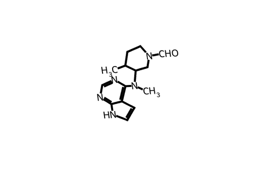 CC1CCN(C=O)CC1N(C)c1ncnc2[nH]ccc12